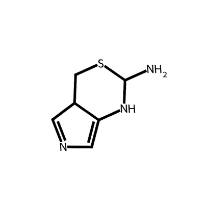 NC1NC2=CN=CC2CS1